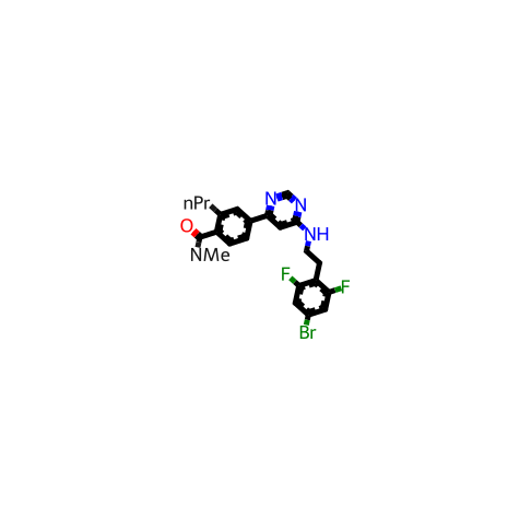 CCCc1cc(-c2cc(NCCc3c(F)cc(Br)cc3F)ncn2)ccc1C(=O)NC